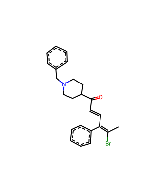 C/C(Br)=C(\C=C\C(=O)C1CCN(Cc2ccccc2)CC1)c1ccccc1